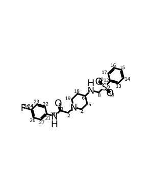 O=C(CN1CCC(NCS(=O)(=O)c2ccccc2)CC1)Nc1ccc(F)cc1